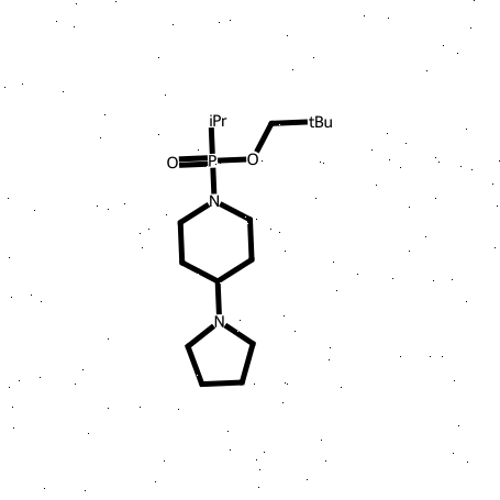 CC(C)P(=O)(OCC(C)(C)C)N1CCC(N2CCCC2)CC1